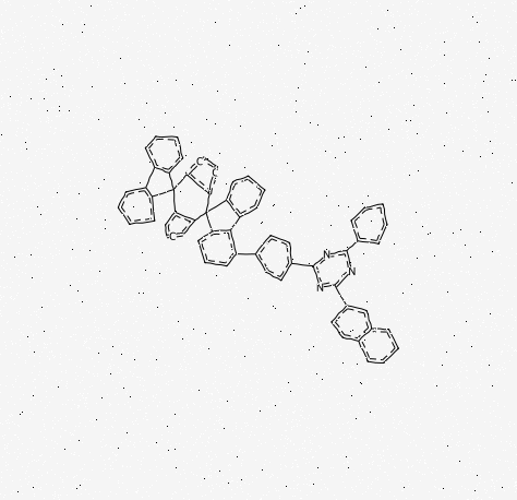 c1ccc(-c2nc(-c3ccc(-c4cccc5c4-c4ccccc4C54c5ccccc5C5(c6ccccc6-c6ccccc65)c5ccccc54)cc3)nc(-c3ccc4ccccc4c3)n2)cc1